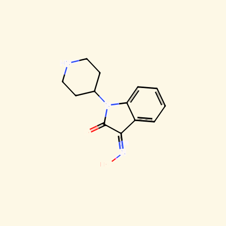 O=C1/C(=N\O)c2ccccc2N1C1CCNCC1